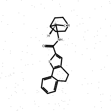 O=C(N[C@H]1CN2CCC1CC2)c1cc2c(s1)-c1ccccc1CC2